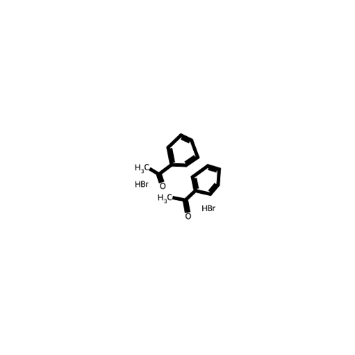 Br.Br.CC(=O)c1ccccc1.CC(=O)c1ccccc1